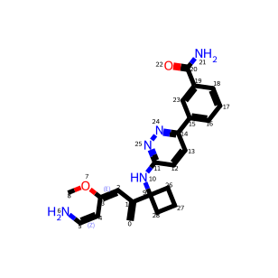 C=C(/C=C(\C=C/N)OC)C1(Nc2ccc(-c3cccc(C(N)=O)c3)nn2)CCC1